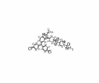 NC(=O)c1ccc(S(=O)(=O)N2CCC(n3c(C4CC4)nc4ccc(C(c5ccc(Cl)cc5)c5ccc(Cl)cc5)cc43)CC2)cn1